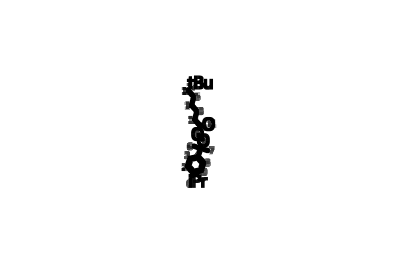 CC(C)c1ccc(C(C)(C)OOC(=O)CCCCCC(C)(C)C)cc1